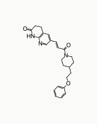 O=C1CCc2cc(/C=C/C(=O)N3CCC(CCOc4ccccc4)CC3)cnc2N1